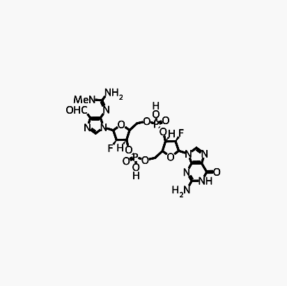 CN/C(N)=N\c1c(C=O)ncn1C1OC2COP(=O)(O)O[C@@H]3C(COP(=O)(O)O[C@H]2[C@H]1F)OC(n1cnc2c(=O)[nH]c(N)nc21)[C@@H]3F